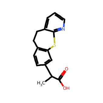 CC(C(=O)O)c1ccc2c(c1)Sc1ncccc1CC2